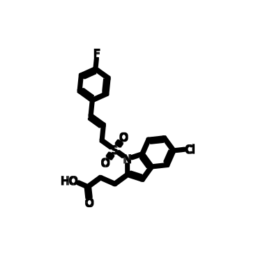 O=C(O)CCc1cc2cc(Cl)ccc2n1S(=O)(=O)CC=Cc1ccc(F)cc1